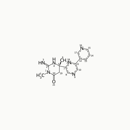 CN1C(=N)N[C@](C)(c2cncc(-c3cccnc3)n2)CC1=O